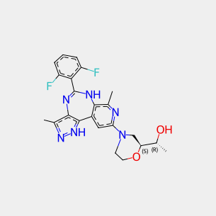 Cc1n[nH]c2c1N=C(c1c(F)cccc1F)Nc1c-2cc(N2CCO[C@H]([C@@H](C)O)C2)nc1C